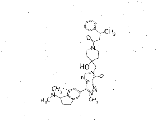 CC(CC(=O)N1CCC(O)(Cn2cnc3c(-c4ccc5c(c4)CCC5N(C)C)n(C)nc3c2=O)CC1)c1ccccc1